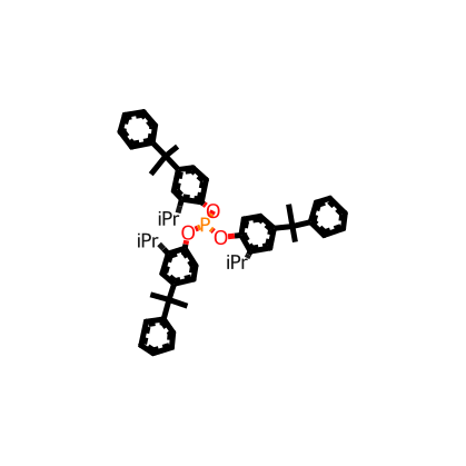 CC(C)c1cc(C(C)(C)c2ccccc2)ccc1OP(Oc1ccc(C(C)(C)c2ccccc2)cc1C(C)C)Oc1ccc(C(C)(C)c2ccccc2)cc1C(C)C